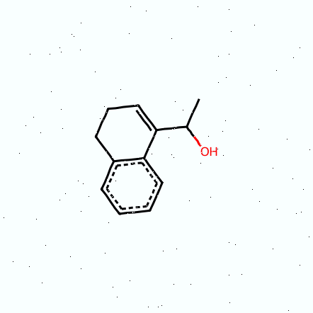 CC(O)C1=CCCc2ccccc21